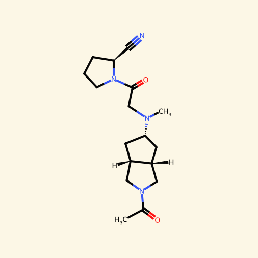 CC(=O)N1C[C@H]2C[C@@H](N(C)CC(=O)N3CCC[C@H]3C#N)C[C@H]2C1